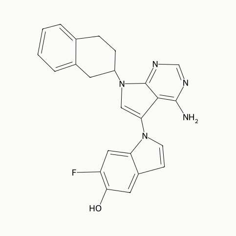 Nc1ncnc2c1c(-n1ccc3cc(O)c(F)cc31)cn2C1CCc2ccccc2C1